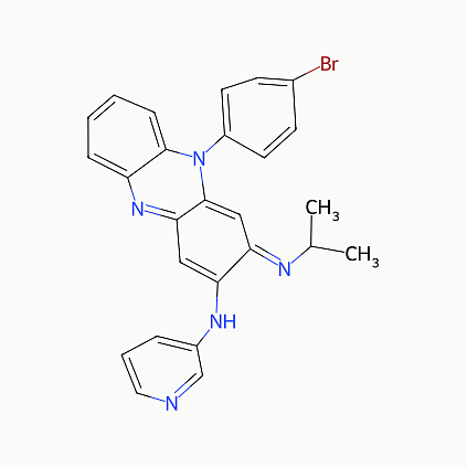 CC(C)N=c1cc2n(-c3ccc(Br)cc3)c3ccccc3nc-2cc1Nc1cccnc1